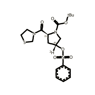 [2H][C@@]1(OS(=O)(=O)c2ccccc2)C[C@@H](C(=O)N2CCSC2)N(C(=O)OC(C)(C)C)C1